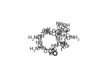 CCC(C)(C)C(=O)OCCC(=O)N[C@@H](CCN)C(=O)N[C@H](C(=O)N[C@@H](CCN)C(=O)N[C@H]1CCNC(=O)[C@H](C(C)O)NC(=O)[C@H](CCN)NC(=O)[C@H](CCN)NC(=O)[C@H](CC(C)C)NC(=O)[C@@H](Cc2ccccc2)NC(=O)[C@H](CCN)NC1=O)C(C)O